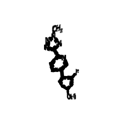 Cn1nnc(-c2ccc(-c3ccc(O)cc3F)cn2)n1